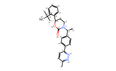 Cc1ccc(-c2ccc([C@H](C)N3CC[C@](CC(C)(C)C#N)(c4ccccc4)OC3=O)cc2)nn1